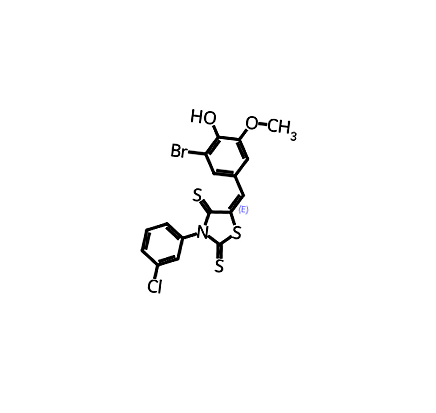 COc1cc(/C=C2/SC(=S)N(c3cccc(Cl)c3)C2=S)cc(Br)c1O